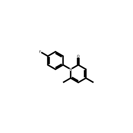 Cc1cc(C)n(-c2ccc(F)cc2)c(=O)c1